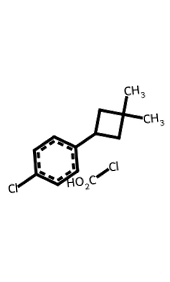 CC1(C)CC(c2ccc(Cl)cc2)C1.O=C(O)Cl